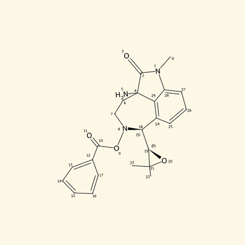 CN1C(=O)C2(N)CCN(OC(=O)c3ccccc3)[C@H]([C@H]3OC3(C)C)c3cccc1c32